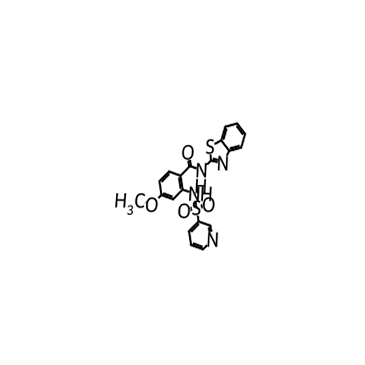 COc1ccc(C(=O)Nc2nc3ccccc3s2)c(NS(=O)(=O)c2cccnc2)c1